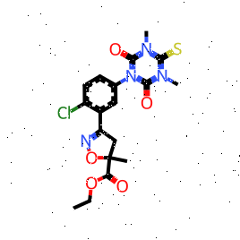 CCOC(=O)C1(C)CC(c2cc(-n3c(=O)n(C)c(=S)n(C)c3=O)ccc2Cl)=NO1